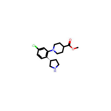 COC(=O)C1CCN(c2cc(Cl)ccc2[C@@H]2CCNC2)CC1